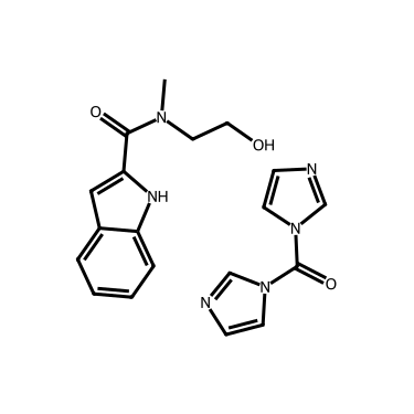 CN(CCO)C(=O)c1cc2ccccc2[nH]1.O=C(n1ccnc1)n1ccnc1